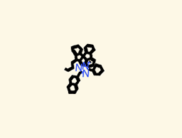 C\C=C/C=C1\C(=C2/N=C(c3ccc4ccccc4c3)N=C(c3ccccc3)N2C)C2(c3ccccc31)c1ccccc1-c1ccccc12